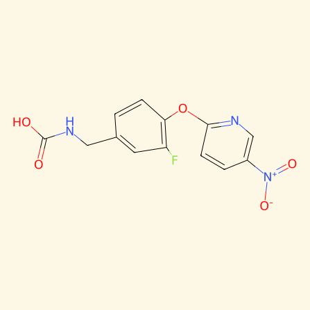 O=C(O)NCc1ccc(Oc2ccc([N+](=O)[O-])cn2)c(F)c1